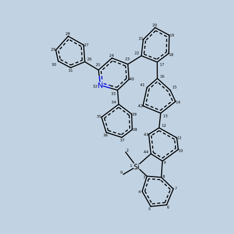 C[Si]1(C)c2ccccc2-c2ccc(-c3ccc(-c4ccccc4-c4cc(-c5ccccc5)nc(-c5ccccc5)c4)cc3)cc21